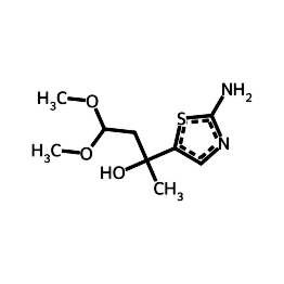 COC(CC(C)(O)c1cnc(N)s1)OC